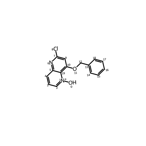 O[n+]1cccc2nc(Cl)cc(OCc3ccccc3)c21